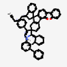 C#C/C=C\C=C1/CC2(C3=C(C=CC(/C(=C\C)c4ccccc4)(/C(Nc4cccc(-c5ccccc5)c4)=C4\C=CC=CC4C)C3)c3c2ccc2c3oc3ccccc32)c2ccccc21